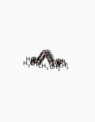 CCC(F)(CC[Si](OC)(OC)OC)C(F)(F)C(F)(F)C(F)(F)C(F)(F)C(F)(F)C(F)(F)C(F)(F)SC(F)(F)C(F)(F)C(F)(F)C(F)(F)C(F)(F)C(F)(F)C(F)(F)C(F)(CC)CC[Si](OC)(OC)OC